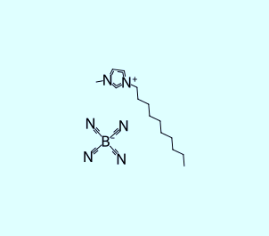 CCCCCCCCCC[n+]1ccn(C)c1.N#C[B-](C#N)(C#N)C#N